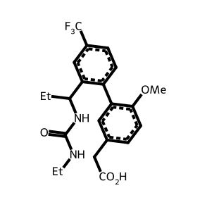 CCNC(=O)NC(CC)c1cc(C(F)(F)F)ccc1-c1cc(CC(=O)O)ccc1OC